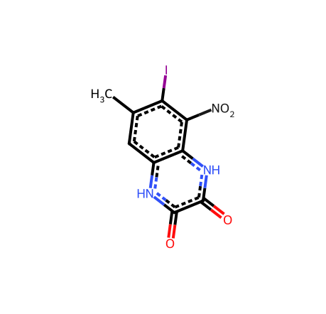 Cc1cc2[nH]c(=O)c(=O)[nH]c2c([N+](=O)[O-])c1I